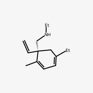 C=C[C@@]1(CNCC)CC(CC)=CC=C1C